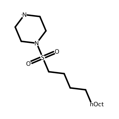 CCCCCCCCCCCCS(=O)(=O)N1CC[N]CC1